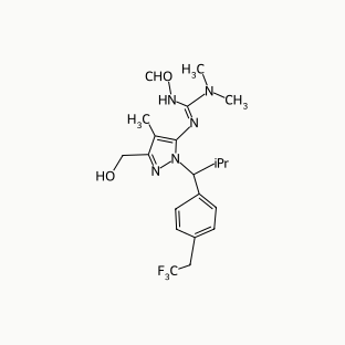 Cc1c(CO)nn(C(c2ccc(CC(F)(F)F)cc2)C(C)C)c1/N=C(\NC=O)N(C)C